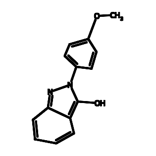 COc1ccc(-n2nc3ccccc3c2O)cc1